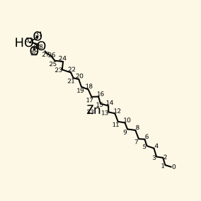 CCCCCCCCCCCCCCCCCCCCCCCCCCCCOS(=O)(=O)O.[Zn]